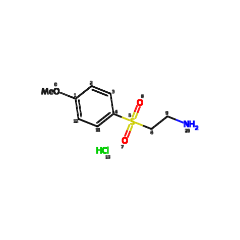 COc1ccc(S(=O)(=O)CCN)cc1.Cl